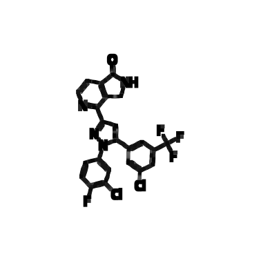 O=C1NCc2c1ccnc2-c1cc(-c2cc(Cl)cc(C(F)(F)F)c2)n(-c2ccc(F)c(Cl)c2)n1